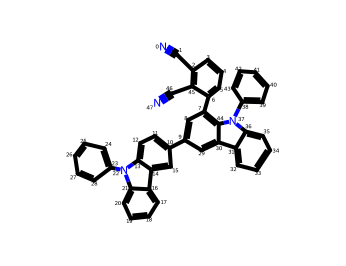 N#Cc1cccc(-c2cc(-c3ccc4c(c3)c3ccccc3n4-c3ccccc3)cc3c4ccccc4n(-c4ccccc4)c23)c1C#N